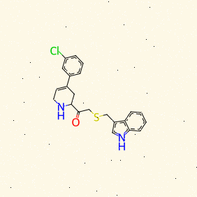 O=C(CSCc1c[nH]c2ccccc12)C1CC(c2cccc(Cl)c2)=CCN1